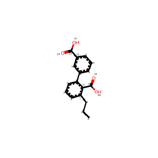 CCCc1cccc(-c2cccc(C(=O)O)c2)c1C(=O)O